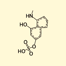 CNc1cccc2cc(OS(=O)(=O)O)cc(O)c12